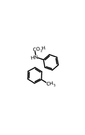 Cc1ccccc1.O=C(O)Nc1ccccc1